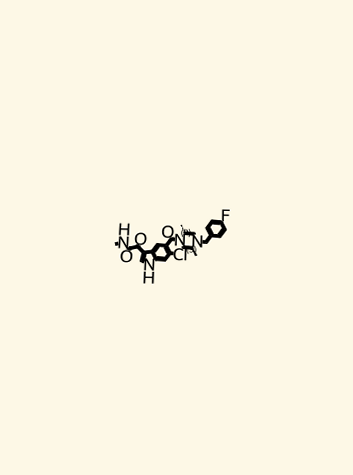 CNC(=O)C(=O)c1c[nH]c2cc(Cl)c(C(=O)N3C[C@H](C)N(Cc4ccc(F)cc4)C[C@H]3C)cc12